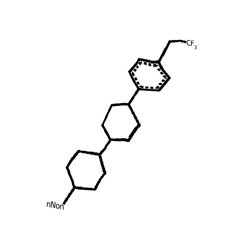 CCCCCCCCCC1CCC(C2CCC(c3ccc(CC(F)(F)F)cc3)CC2)CC1